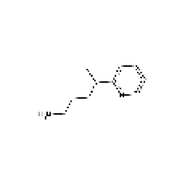 CN(CCCN)c1ccccn1